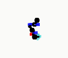 O=C(Nc1ccc(C2CC2NC2CCNC(c3ccccc3)C2)cc1)c1cccc(C(F)(F)F)c1